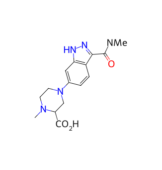 CNC(=O)c1n[nH]c2cc(N3CCN(C)C(C(=O)O)C3)ccc12